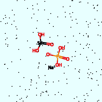 O=P([O-])(O)O.O=[Se](O)O.[Na+]